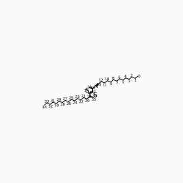 CCCCCCCCCCCCCC#Cc1csc2c(CCCCCCCCCCCCCCC)csc12